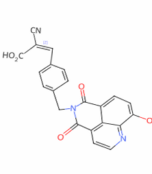 N#C/C(=C/c1ccc(CN2C(=O)c3ccnc4c(O)ccc(c34)C2=O)cc1)C(=O)O